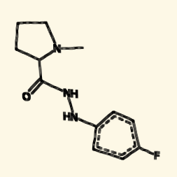 CN1CCCC1C(=O)NNc1ccc(F)cc1